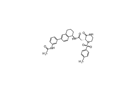 CC(=O)Nc1cccc(-c2ccc3c(c2)CCC[C@H]3NC(=O)C[C@@H]2C(=O)NCCN2S(=O)(=O)c2ccc(C)cc2)c1